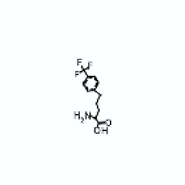 NC(CCCc1ccc(C(F)(F)F)cc1)C(=O)O